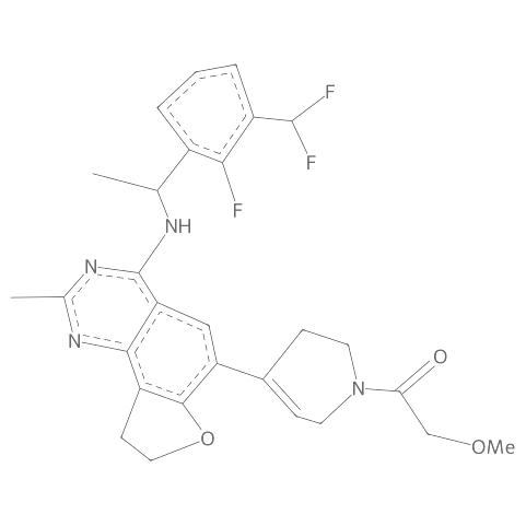 COCC(=O)N1CC=C(c2cc3c(NC(C)c4cccc(C(F)F)c4F)nc(C)nc3c3c2OCC3)CC1